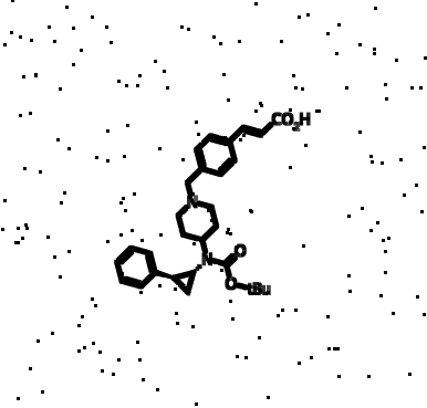 CC(C)(C)OC(=O)N(C1CCN(Cc2ccc(C=CC(=O)O)cc2)CC1)[C@@H]1C[C@H]1c1ccccc1